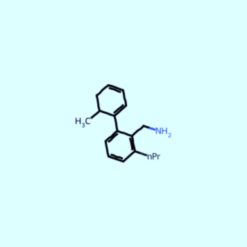 CCCc1cccc(C2=CC=CCC2C)c1CN